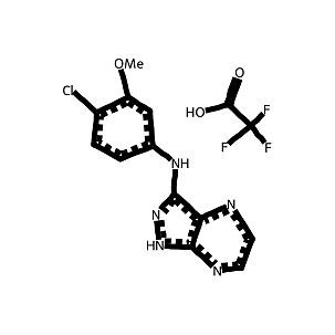 COc1cc(Nc2n[nH]c3nccnc23)ccc1Cl.O=C(O)C(F)(F)F